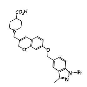 Cc1nn(C(C)C)c2ccc(COc3ccc4c(c3)OCC(CN3CCC(C(=O)O)CC3)=C4)cc12